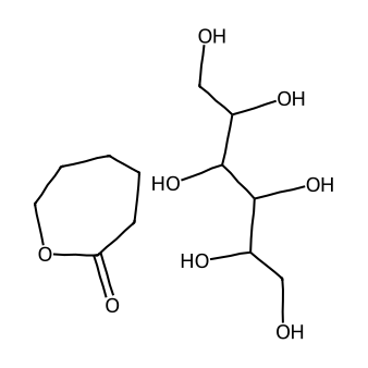 O=C1CCCCCO1.OCC(O)C(O)C(O)C(O)CO